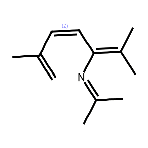 C=C(C)/C=C\C(N=C(C)C)=C(C)C